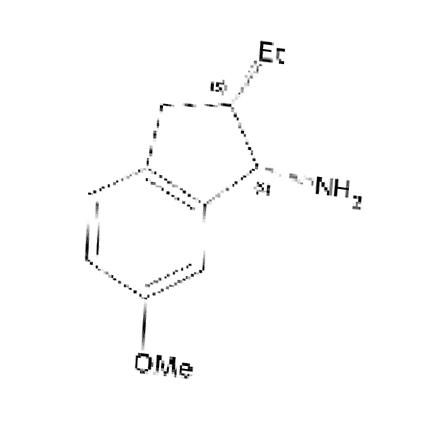 CC[C@H]1Cc2ccc(OC)cc2[C@H]1N